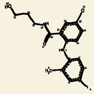 Cc1cc(I)ccc1Nc1ccc(Cl)cc1C(=O)NCCCO